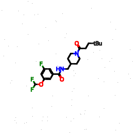 CC(C)(C)CCC(=O)N1CCC(CNC(=O)c2cc(F)cc(OC(F)F)c2)CC1